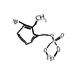 CCOP(=O)(OCC)Oc1cccc(Br)c1C